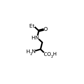 CCC(=O)NCC(N)C(=O)O